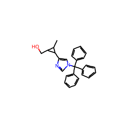 CC1C(CO)C1c1cn(C(c2ccccc2)(c2ccccc2)c2ccccc2)cn1